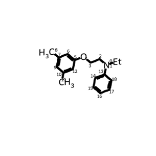 CCN(CCOc1cc(C)cc(C)c1)c1ccccc1